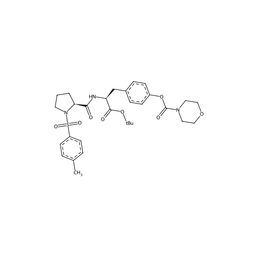 Cc1ccc(S(=O)(=O)N2CCC[C@H]2C(=O)N[C@@H](Cc2ccc(OC(=O)N3CCOCC3)cc2)C(=O)OC(C)(C)C)cc1